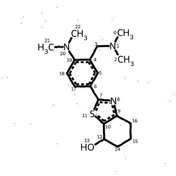 CN(C)Cc1cc(-c2nc3c(s2)C(O)CCC3)ccc1N(C)C